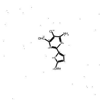 COc1ccc(-c2nc(N)c(Cl)c(C=O)n2)s1